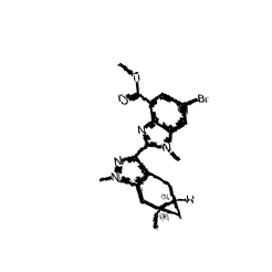 COC(=O)c1cc(Br)cc2c1nc(-c1nn(C)c3c1C[C@@H]1C[C@]1(C)C3)n2C